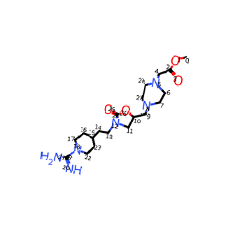 COC(=O)CN1CCN(CC2CN(CCC3CCN(C(=N)N)CC3)C(=O)O2)CC1